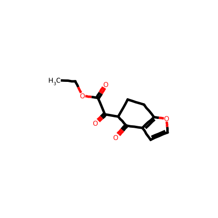 CCOC(=O)C(=O)C1CCc2occc2C1=O